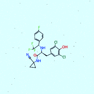 N#CC1(NC(=O)[C@H](Cc2cc(Cl)c(O)c(Cl)c2)N[C@@H](c2ccc(F)cc2)C(F)(F)F)CC1